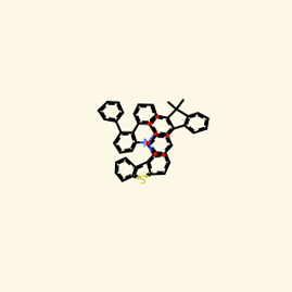 CC1(C)c2ccccc2-c2cc(N(c3cccc(-c4ccccc4)c3-c3ccccc3-c3ccccc3)c3cccc4sc5ccccc5c34)ccc21